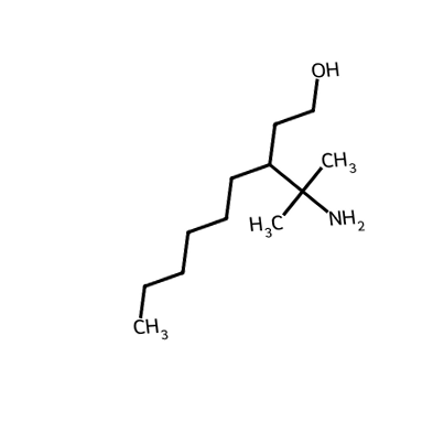 CCCCCCC(CCO)C(C)(C)N